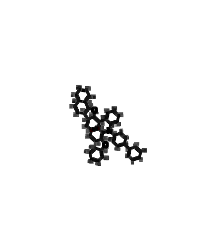 c1ccc(-c2ccc(N(c3ccccc3-c3cccc4c3oc3c5ccccc5ccc43)c3cccc4c3oc3ccccc34)cc2)cc1